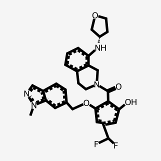 Cn1ncc2ccc(COc3cc(C(F)F)cc(O)c3C(=O)N3CCc4cccc(N[C@H]5CCOC5)c4C3)cc21